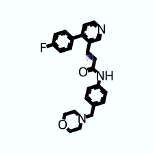 O=C(/C=C/c1cnccc1-c1ccc(F)cc1)Nc1ccc(CN2CCOCC2)cc1